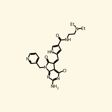 CCN(CC)CCNC(=O)c1c[nH]c(C=C2C(=O)N(Cc3cccnc3)c3nc(N)nc(Cl)c32)c1